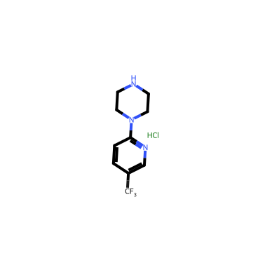 Cl.FC(F)(F)c1ccc(N2CCNCC2)nc1